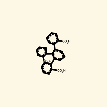 O=C(O)c1ccccc1-c1cccc(-c2ccccc2C(=O)O)c1-c1ccccc1C(=O)O